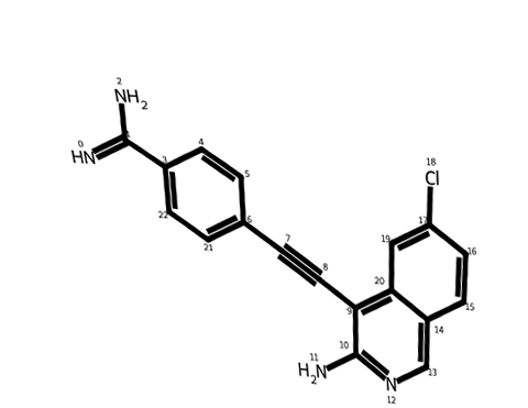 N=C(N)c1ccc(C#Cc2c(N)ncc3ccc(Cl)cc23)cc1